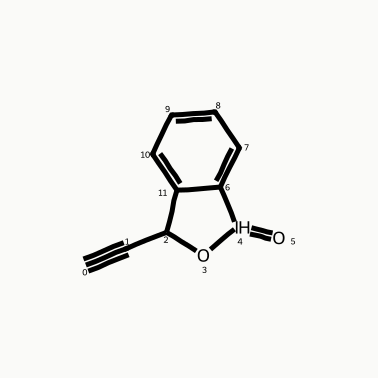 C#CC1O[IH](=O)c2ccccc21